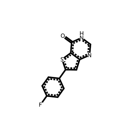 O=c1[nH]cnc2cc(-c3ccc(F)cc3)sc12